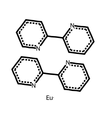 [Eu].c1ccc(-c2ccccn2)nc1.c1ccc(-c2ccccn2)nc1